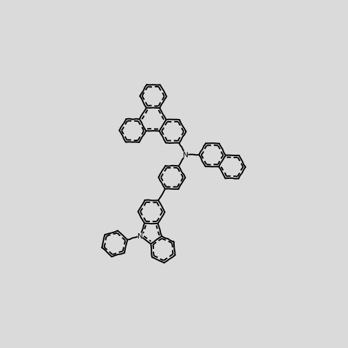 c1ccc(-n2c3ccccc3c3cc(-c4ccc(N(c5ccc6ccccc6c5)c5ccc6c7ccccc7c7ccccc7c6c5)cc4)ccc32)cc1